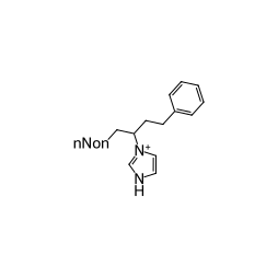 CCCCCCCCCCC(CCc1ccccc1)[n+]1cc[nH]c1